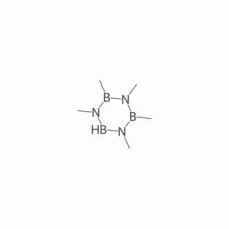 CB1N(C)BN(C)B(C)N1C